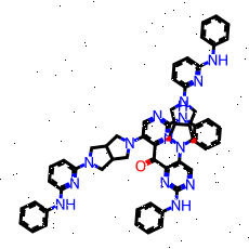 O=C(c1nc(Nc2ccccc2)ncc1N1CC2CN(c3cccc(Nc4ccccc4)n3)CC2C1)c1nc(Nc2ccccc2)ncc1N1CC2CN(c3cccc(Nc4ccccc4)n3)CC2C1